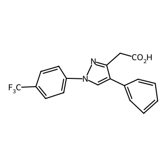 O=C(O)Cc1nn(-c2ccc(C(F)(F)F)cc2)cc1-c1ccccc1